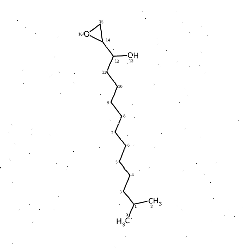 CC(C)CCCCCCCCCC(O)C1CO1